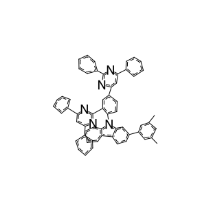 Cc1cc(C)cc(-c2ccc3c4ccccc4n(-c4ccc(-c5cc(-c6ccccc6)nc(-c6ccccc6)n5)cc4-c4nc(-c5ccccc5)cc(-c5ccccc5)n4)c3c2)c1